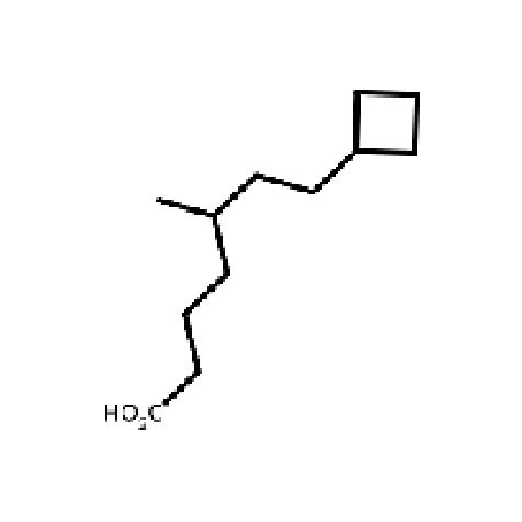 CC(CCCC(=O)O)CCC1CCC1